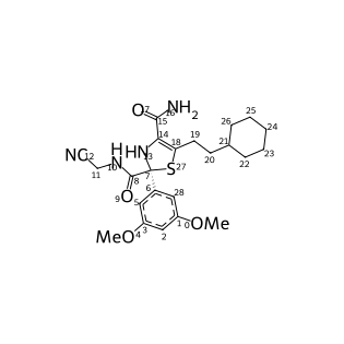 COc1cc(OC)cc([C@]2(C(=O)NCC#N)NC(C(N)=O)=C(CCC3CCCCC3)S2)c1